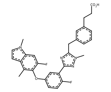 Cc1c(Oc2ccc(F)c(-c3nc(Cc4cccc(CCC(=O)O)c4)n(C)n3)c2)c(F)cc2c1ccn2C